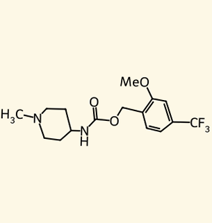 COc1cc(C(F)(F)F)ccc1COC(=O)NC1CCN(C)CC1